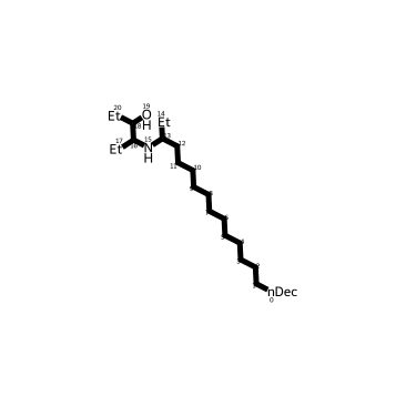 CCCCCCCCCCCCCCCCCCCCCCC(CC)NC(CC)C(O)CC